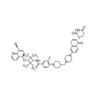 CC1(C)C(NC(=O)c2ccc(N3CCC(CN4CCN(c5ccc6c(c5)CC=C([C@H]5CCC(=O)NC5=O)C6=O)CC4)CC3)c(F)c2)C(C)(C)C1Oc1ccc(C#N)c2ncccc12